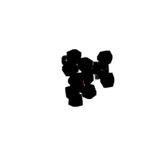 c1ccc(-c2nc(-c3ccccc3)nc(-n3c4ccccc4c4cc(-c5cccc6oc7ccc(-c8ccc9c(c8)c8ccc%10ccccc%10c8n9-c8ccccc8)cc7c56)ccc43)n2)cc1